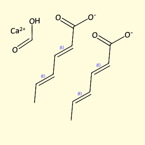 C/C=C/C=C/C(=O)[O-].C/C=C/C=C/C(=O)[O-].O=CO.[Ca+2]